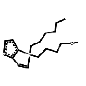 CCCCCCS1(CCCCCC)C=Cc2sccc21